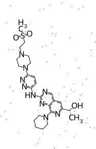 C[C@@H](O)c1cc2cnc(Nc3ccc(N4CCN(CCS(C)(=O)=O)CC4)nn3)nc2c(N2CCCCC2)n1